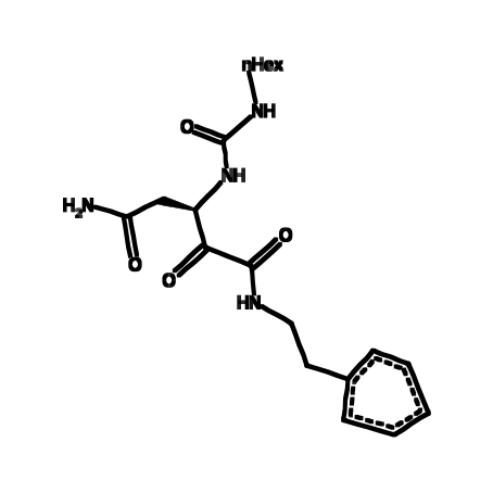 CCCCCCNC(=O)N[C@H](CC(N)=O)C(=O)C(=O)NCCc1ccccc1